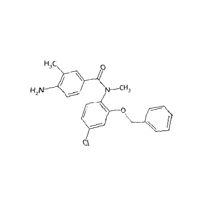 Cc1cc(C(=O)N(C)c2ccc(Cl)cc2OCc2ccccc2)ccc1N